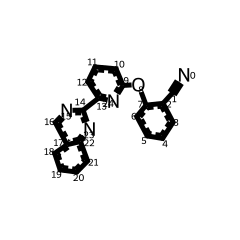 N#Cc1ccccc1Oc1cccc(-c2ncc3ccccc3n2)n1